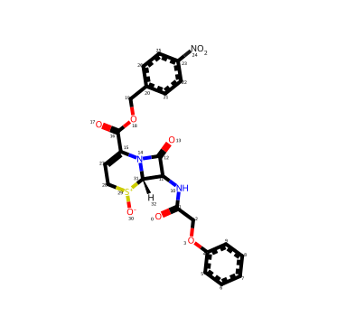 O=C(COc1ccccc1)NC1C(=O)N2C(C(=O)OCc3ccc([N+](=O)[O-])cc3)=CC[S+]([O-])[C@@H]12